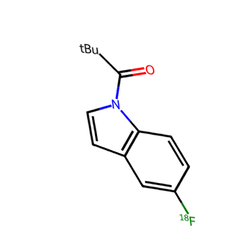 CC(C)(C)C(=O)n1ccc2cc([18F])ccc21